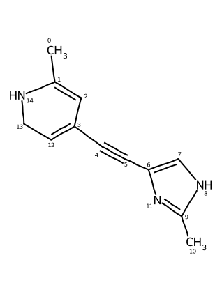 CC1=CC(C#Cc2c[nH]c(C)n2)=CCN1